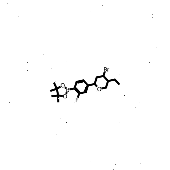 CCC1COC(c2ccc(B3OC(C)(C)C(C)(C)O3)c(F)c2)CC1Br